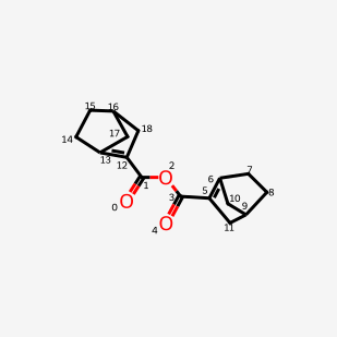 O=C(OC(=O)C1=C2CCC(C2)C1)C1=C2CCC(C2)C1